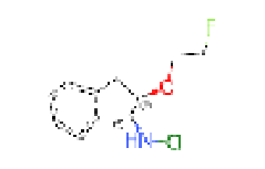 FCCO[C@@H]1Cc2ccccc2[C@@H]1NCl